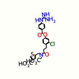 N=C(N)Nc1ccc(C(=O)Oc2ccc(CCC(=O)N(CC(=O)O)Cc3cc(C(=O)O)cs3)c(Cl)c2)cc1